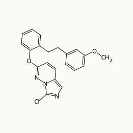 COc1cccc(CCc2ccccc2Oc2ccc3cnc(Cl)n3n2)c1